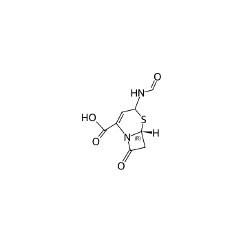 O=CNC1C=C(C(=O)O)N2C(=O)C[C@H]2S1